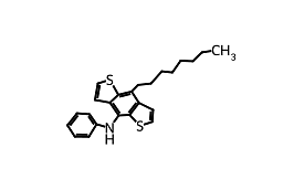 CCCCCCCCc1c2ccsc2c(Nc2ccccc2)c2ccsc12